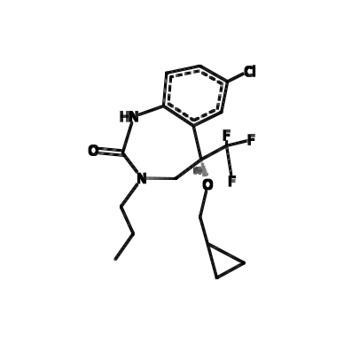 CCCN1C[C@](OCC2CC2)(C(F)(F)F)c2cc(Cl)ccc2NC1=O